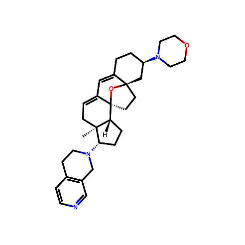 C[C@]12CC=C3C=C4CC[C@@H](N5CCOCC5)C[C@]45CC[C@]3(O5)[C@@H]1CC[C@@H]2N1CCc2ccncc2C1